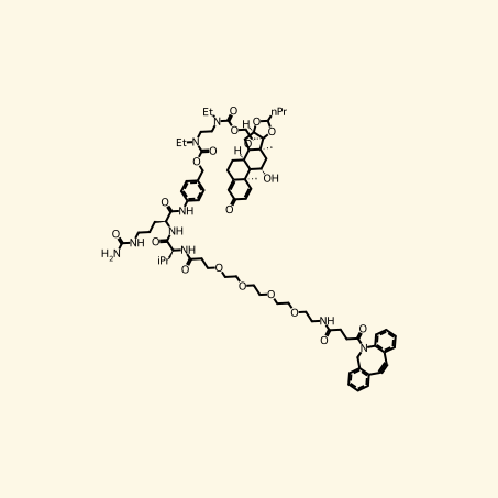 CCCC1O[C@@H]2CC3[C@@H]4CCC5=CC(=O)C=C[C@]5(C)C4[C@@H](O)C[C@]3(C)[C@]2(C(=O)COC(=O)N(CC)CCN(CC)C(=O)OCc2ccc(NC(=O)[C@H](CCCNC(N)=O)NC(=O)[C@@H](NC(=O)CCOCCOCCOCCOCCNC(=O)CCC(=O)N3Cc4ccccc4C#Cc4ccccc43)C(C)C)cc2)O1